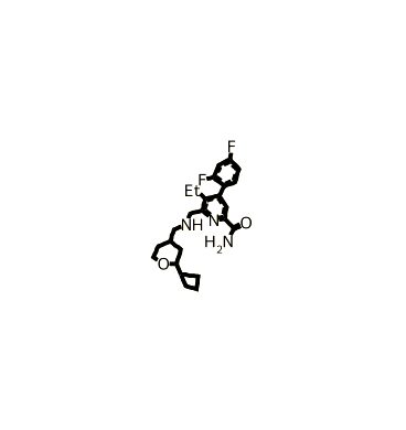 CCc1c(-c2ccc(F)cc2F)cc(C(N)=O)nc1CNCC1CCOC(C2CCC2)C1